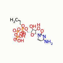 C=CCOP(=O)(OC[C@H]1O[C@@H](n2ccc(N)nc2=O)[C@H](O)[C@@H]1O)OP(=O)(O)OP(=O)(O)O